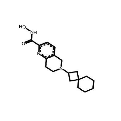 O=C(NO)c1ccc2c(n1)CCN(C1CC3(CCCCC3)C1)C2